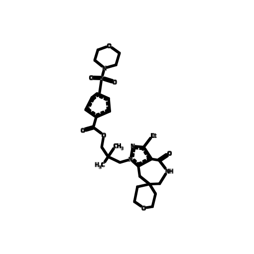 CCc1nn(CC(C)(C)COC(=O)c2ccc(S(=O)(=O)N3CCOCC3)cc2)c2c1C(=O)NCC1(CCOCC1)C2